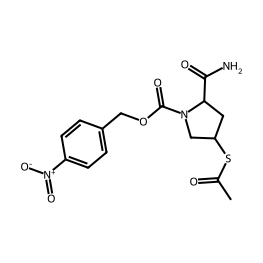 CC(=O)SC1CC(C(N)=O)N(C(=O)OCc2ccc([N+](=O)[O-])cc2)C1